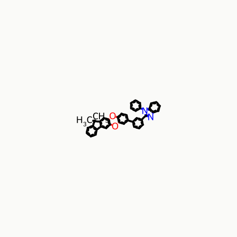 CC1(C)c2ccccc2-c2cc3c(cc21)Oc1ccc(-c2cccc(-c4nc5ccccc5n4-c4ccccc4)c2)cc1O3